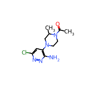 CC(=O)N1CCN(c2cc(Cl)nnc2N)CC1C